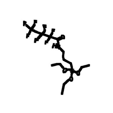 CCO[Si](CCCNC(=O)C(F)(F)C(F)(F)C(F)(F)F)(OCC)OCC